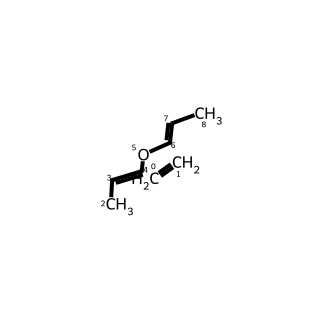 C=C.CC=COC=CC